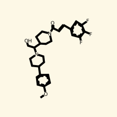 COc1ccc(C2CCN(C(CO)C3CCN(C(=O)C=Cc4cc(F)c(F)c(F)c4)CC3)CC2)cc1